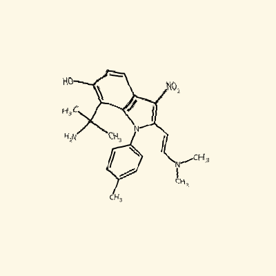 Cc1ccc(-n2c(C=CN(C)C)c([N+](=O)[O-])c3ccc(O)c(C(C)(C)N)c32)cc1